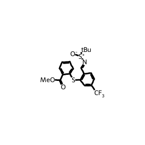 COC(=O)c1ccccc1Sc1cc(C(F)(F)F)ccc1C=N[S+]([O-])C(C)(C)C